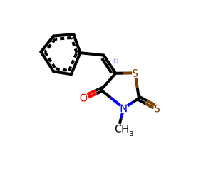 CN1C(=O)/C(=C\c2ccccc2)SC1=S